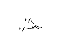 CCCCCCCCC(=O)OCCC(COCc1ccccc1)OC(=O)CCCCCCCC